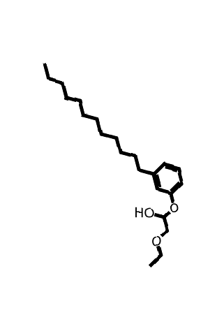 CCCCCCCCCCCCc1cccc(OC(O)COCC)c1